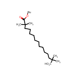 CCC(C)OC(=O)C(C)(C)CCCCCCCCCCCC(C)(C)C(=O)O